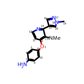 CNc1c(Oc2ccc(N)cc2)ccnc1-c1cnn(C)c1